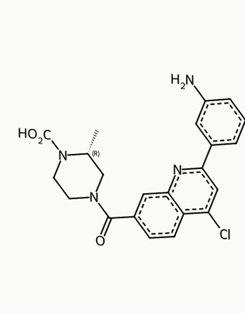 C[C@@H]1CN(C(=O)c2ccc3c(Cl)cc(-c4cccc(N)c4)nc3c2)CCN1C(=O)O